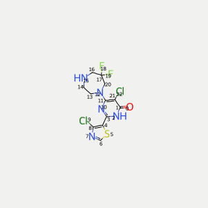 O=c1[nH]c(-c2scnc2Cl)nc(N2CCNCC(F)(F)C2)c1Cl